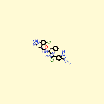 C/C(=C/C(=O)N[C@@H](Cc1ccccc1)c1nc(-c2ccc3c(N)n[nH]c3c2)c(Cl)[nH]1)c1cc(Cl)ccc1-n1cnnn1